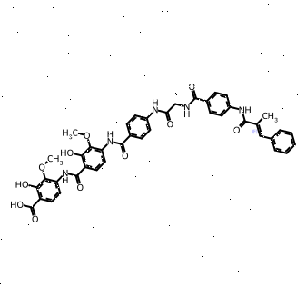 COc1c(NC(=O)c2ccc(NC(=O)c3ccc(NC(=O)CNC(=O)c4ccc(NC(=O)/C(C)=C/c5ccccc5)cc4)cc3)c(OC)c2O)ccc(C(=O)O)c1O